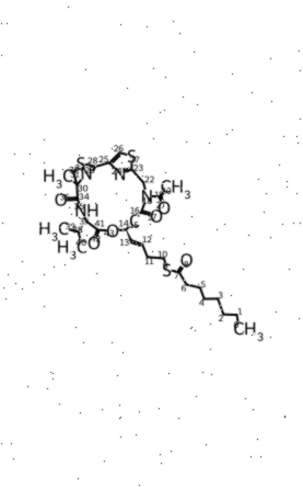 CCCCCCCC(=O)SCC/C=C/[C@@H]1CC(=O)N(C(C)=O)Cc2nc(cs2)C2=N[C@@](C)(CS2)C(=O)N[C@@H](C(C)C)C(=O)O1